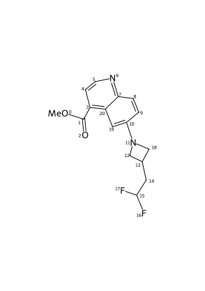 COC(=O)c1ccnc2ccc(N3CC(CC(F)F)C3)cc12